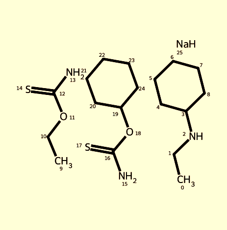 CCNC1CCCCC1.CCOC(N)=S.NC(=S)OC1CCCCC1.[NaH]